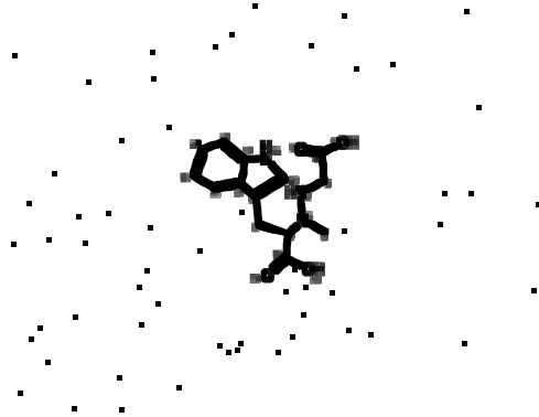 CN(NCC(=O)O)[C@H](Cc1c[nH]c2ccccc12)C(=O)O